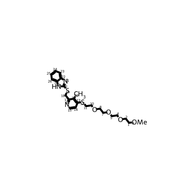 COCCOCCOCCOCCSc1ccnc(CSc2nc3ccccc3[nH]2)c1C